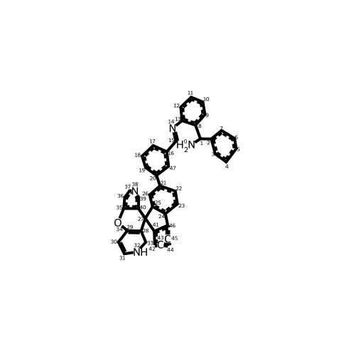 NC(c1ccccc1)c1ccccc1/N=C/c1cccc(-c2ccc3c(c2)C2(C4=C(C=CNC4)Oc4ccncc42)c2ccccc2-3)c1